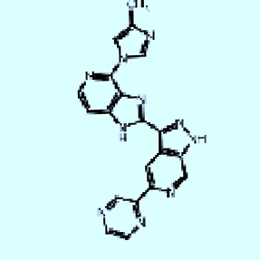 Cc1cn(-c2nccc3[nH]c(-c4n[nH]c5cnc(-c6cnccn6)cc45)nc23)cn1